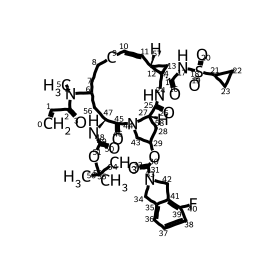 C=CC(=O)N(C)C1CCC/C=C\[C@@H]2C[C@@]2(C(=O)NS(=O)(=O)C2CC2)NC(=O)[C@@H]2CC(OC(=O)N3Cc4cccc(F)c4C3)CN2C(=O)[C@@H](NC(=O)OC(C)(C)C)C1